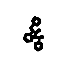 O=C1C(=Cc2ccccc2)c2ccccc2N1C(=O)c1ccccc1